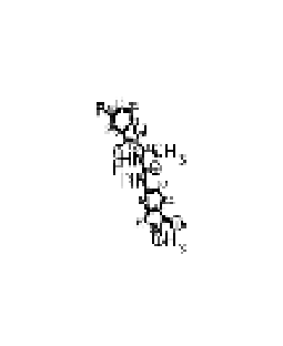 Cc1c(C(C)NC(=O)Nc2ccc3c(c2)CN(C)C3=O)oc2ccc(F)cc12